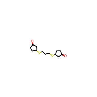 O=C1CCC(SCCCSC2CCC(=O)C2)C1